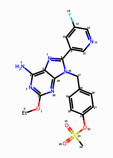 CCOc1nc(N)c2nc(-c3cncc(F)c3)n(Cc3ccc(OS(C)(=O)=O)cc3)c2n1